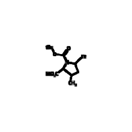 CCOC(=O)C1C(C)CC(CC)N1C(=O)OC(C)(C)C